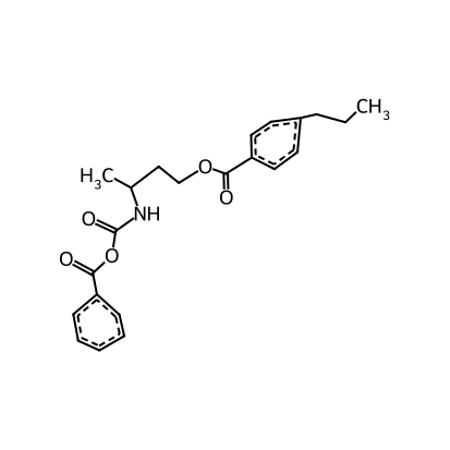 CCCc1ccc(C(=O)OCCC(C)NC(=O)OC(=O)c2ccccc2)cc1